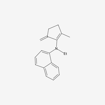 C=C1CCC(C)=C1N(CC)c1cccc2ccccc12